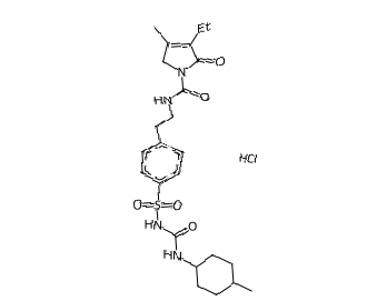 CCC1=C(C)CN(C(=O)NCCc2ccc(S(=O)(=O)NC(=O)NC3CCC(C)CC3)cc2)C1=O.Cl